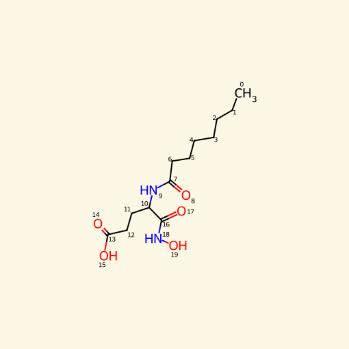 CCCCCCCC(=O)NC(CCC(=O)O)C(=O)NO